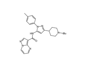 CCC(C)N1CCC(c2cc(NC(=O)c3cnn4cccnc34)n(-c3ccc(C)cc3)n2)CC1